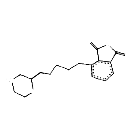 O=C1NC(=O)c2c(CCCCCC3CNCCO3)cccc21